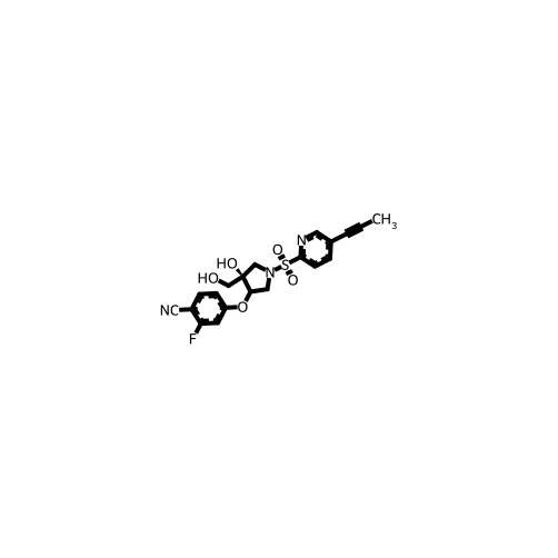 CC#Cc1ccc(S(=O)(=O)N2CC(Oc3ccc(C#N)c(F)c3)[C@](O)(CO)C2)nc1